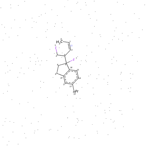 C/C=C\C(CI)C1(I)CCc2cc(CCC)ccc21